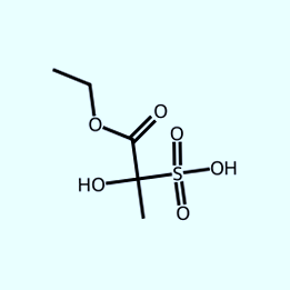 CCOC(=O)C(C)(O)S(=O)(=O)O